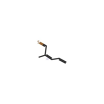 C=C/C=C(/C)C=S